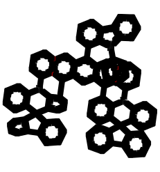 c1ccc(N2c3ccccc3C3(c4ccccc4-c4ccccc43)c3cccc(-c4cccc5c(-c6cccc7c8ccccc8n(-c8ccccc8)c67)c6cccc(-c7cccc8c7N(c7ccccc7)c7ccccc7C87c8ccccc8-c8ccccc87)c6cc45)c32)cc1